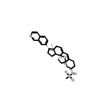 C[C@]12CC=C3C=C4CC[C@H](NS(C)(=O)=O)C[C@]45CC[C@]3(O5)C1CC[C@@H]2c1ccc2ccncc2c1